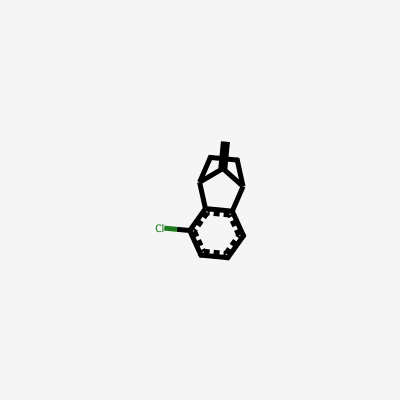 C=C1C2CCC1c1c(Cl)cccc12